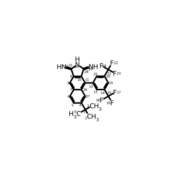 CC(C)(C)c1ccc2cc3c(c(-c4cc(C(F)(F)F)cc(C(F)(F)F)c4)c2c1)C(=N)NC3=N